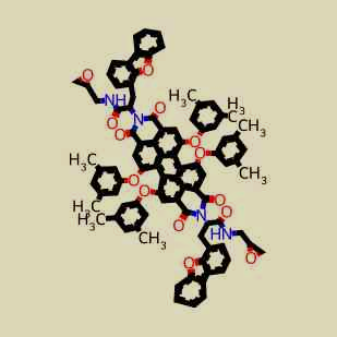 Cc1cc(C)cc(Oc2cc3c4c(cc(Oc5cc(C)cc(C)c5)c5c6c(Oc7cc(C)cc(C)c7)cc7c8c(cc(Oc9cc(C)cc(C)c9)c(c2c45)c86)C(=O)N(C(Cc2cccc4c2oc2ccccc24)C(=O)NCC2CO2)C7=O)C(=O)N(C(Cc2cccc4c2oc2ccccc24)C(=O)NCC2CO2)C3=O)c1